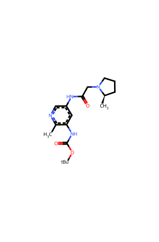 Cc1ncc(NC(=O)CN2CCC[C@H]2C)cc1NC(=O)OC(C)(C)C